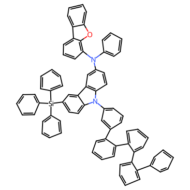 c1ccc(-c2ccccc2-c2ccccc2-c2ccccc2-c2cccc(-n3c4ccc(N(c5ccccc5)c5cccc6c5oc5ccccc56)cc4c4cc([Si](c5ccccc5)(c5ccccc5)c5ccccc5)ccc43)c2)cc1